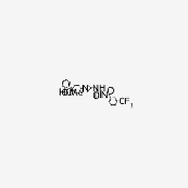 COc1ccccc1C1(O)CCC(N2CC(NC(=O)CNC(=O)c3cccc(C(F)(F)F)c3)C2)CC1